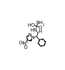 BC(O)(O)NCC(c1ccccc1)n1cc([N+](=O)[O-])cn1